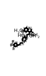 COc1ccc2ncc(CN)c([C@H](O)CCC3(CO)CCN(CCCc4cc(F)c(F)c(F)c4)CC3)c2c1